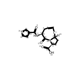 O=C(N[C@H]1CC=CC[C@@H]2CC[C@@H](C(=O)O)N2C1=O)c1ccsc1